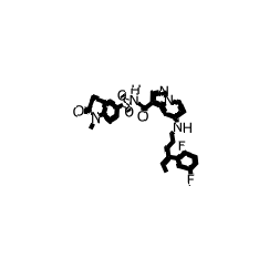 C/C=C(/CCCNc1ccn2ncc(C(=O)NS(=O)(=O)c3ccc4c(c3)CC(=O)N4C)c2c1)c1cc(F)ccc1F